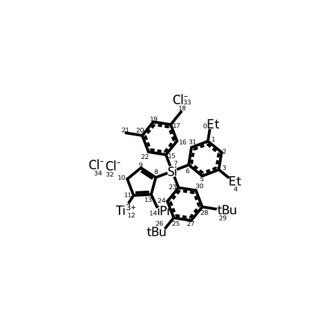 CCc1cc(CC)cc([Si](C2=CC[C]([Ti+3])=C2C(C)C)(c2cc(C)cc(C)c2)c2cc(C(C)(C)C)cc(C(C)(C)C)c2)c1.[Cl-].[Cl-].[Cl-]